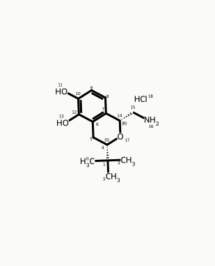 CC(C)(C)[C@@H]1Cc2c(ccc(O)c2O)[C@H](CN)O1.Cl